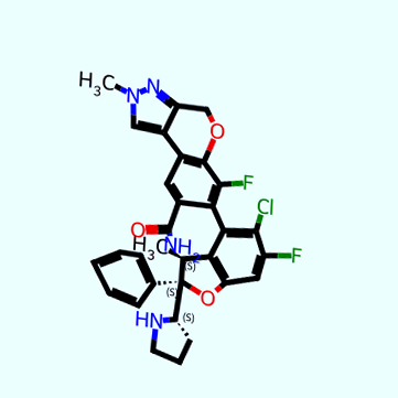 C[C@H]1c2c(cc(F)c(Cl)c2-c2c(C(N)=O)cc3c(c2F)OCc2nn(C)cc2-3)O[C@@]1(c1ccccc1)[C@@H]1CCCN1